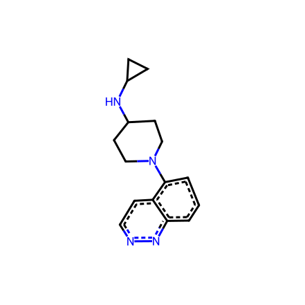 c1cc(N2CCC(NC3CC3)CC2)c2ccnnc2c1